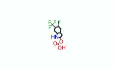 O=C(O)Oc1cc2cc(F)c(C(F)(F)F)cc2[nH]1